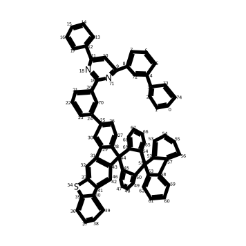 c1ccc(-c2cccc(-c3cc(-c4ccccc4)nc(-c4cccc(-c5ccc6c(c5)-c5cc7sc8ccccc8c7cc5C65c6ccccc6C6(c7ccccc7-c7ccccc76)c6ccccc65)c4)n3)c2)cc1